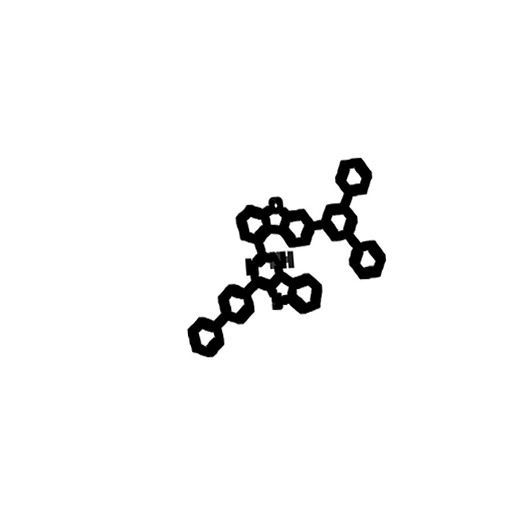 c1ccc(-c2ccc(C3=C4Sc5ccccc5C4NC(c4cccc5oc6cc(-c7cc(-c8ccccc8)cc(-c8ccccc8)c7)ccc6c45)=N3)cc2)cc1